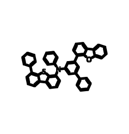 c1ccc(-c2cc(-c3cccc4c3oc3ccccc34)cc(N(c3ccccc3)c3cccc4c3sc3c(-c5ccccc5)cccc34)c2)cc1